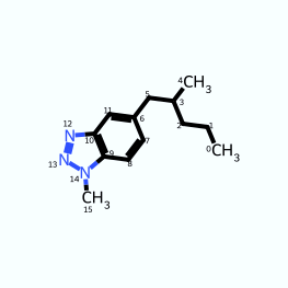 CCCC(C)Cc1ccc2c(c1)nnn2C